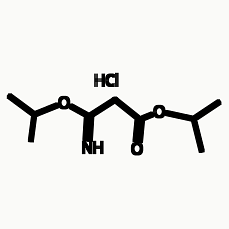 CC(C)OC(=N)CC(=O)OC(C)C.Cl